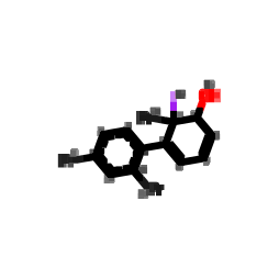 CC(C)c1ccc(C2=CC=CC(O)C2(I)C(C)C)c(C(C)C)c1